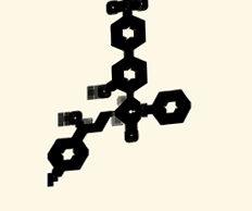 O=C1[C@H](CC[C@H](O)c2ccc(F)cc2)[C@@H](c2ccc(-c3ccc(S(=O)(=O)O)cc3)cc2O)N1c1ccccc1